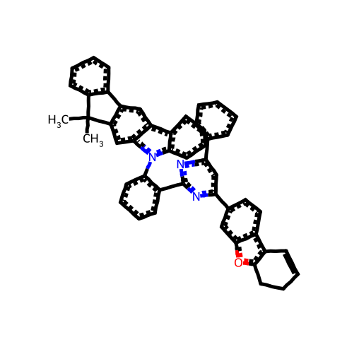 CC1(C)c2ccccc2-c2cc3c4ccccc4n(-c4ccccc4-c4nc(-c5ccccc5)cc(-c5ccc6c7c(oc6c5)CCC=C7)n4)c3cc21